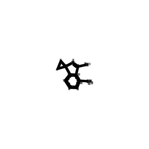 [2H]C1=NC2(CC2)c2cccc(N)c21